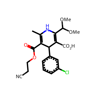 COC(OC)C1=C(C(=O)O)C(c2cccc(Cl)c2)C(C(=O)OCCC#N)=C(C)N1